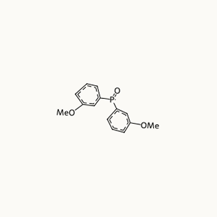 COc1cccc([P](=O)c2cccc(OC)c2)c1